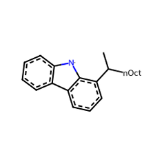 CCCCCCCCC(C)c1cccc2c1[N]c1ccccc1-2